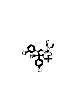 CCN(C=O)C(=O)N1C[C@H](c2cccc(Cl)c2)[C@@](C#N)(c2ccc(Cl)cc2)[C@@H]1CC(C)(C)C